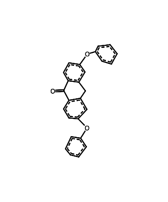 O=C1c2ccc(Oc3ccccc3)cc2Cc2cc(Oc3ccccc3)ccc21